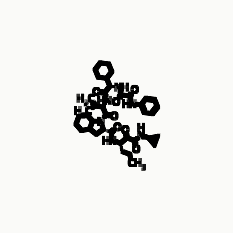 C=C(C)[C@H](NC(=O)[C@@H](NC(=O)C(=O)Nc1ccccc1)C1CCCCC1)C(=O)N1C2CCCCC2C[C@H]1C(=O)N[C@@H](CCC)C(=O)C(=O)NC1CC1